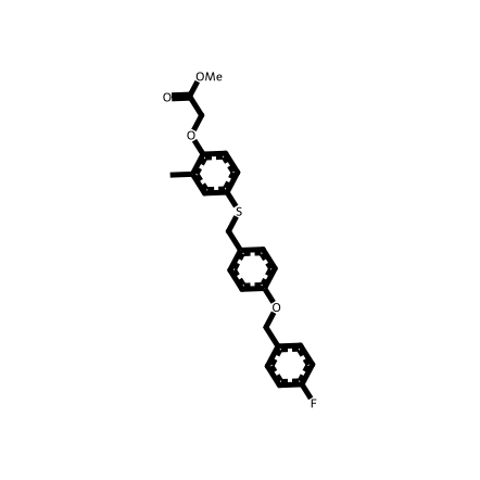 COC(=O)COc1ccc(SCc2ccc(OCc3ccc(F)cc3)cc2)cc1C